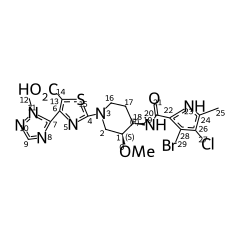 CO[C@H]1CN(c2nc(-c3ncnn3C)c(C(=O)O)s2)CC[C@H]1NC(=O)c1[nH]c(C)c(Cl)c1Br